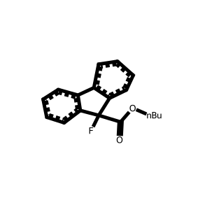 CCCCOC(=O)C1(F)c2ccccc2-c2ccccc21